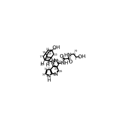 C[C@H](CO)NC(=O)C(=O)Nc1nn([C@H]2[C@@H]3CC4C[C@H]2C[C@@](O)(C4)C3)c2c1cnc1[nH]ccc12